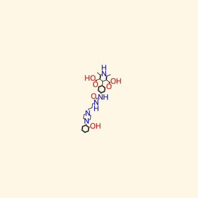 CC1=C(C(=O)O)C(c2ccc(NC(=O)NCCCN3CCN(c4ccccc4O)CC3)cc2)C(C(=O)O)=C(C)N1